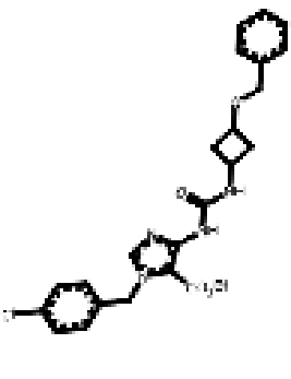 CCOC(=O)c1c(NC(=O)NC2CC(OCc3ccccc3)C2)ncn1Cc1ccc(Cl)cc1